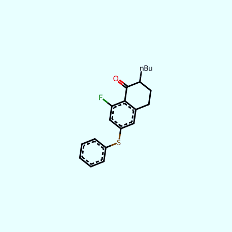 CCCCC1CCc2cc(Sc3ccccc3)cc(F)c2C1=O